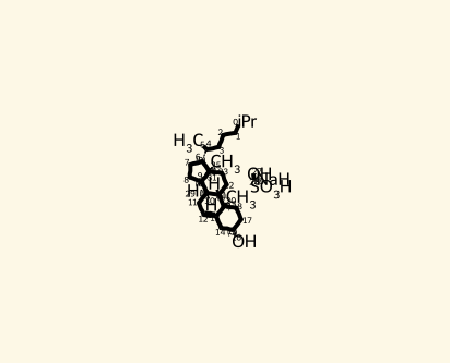 CC(C)CCCC(C)[C@H]1CC[C@H]2[C@@H]3CC=C4C[C@@H](O)CC[C@]4(C)[C@H]3CC[C@]12C.O=S(=O)(O)O.[NaH]